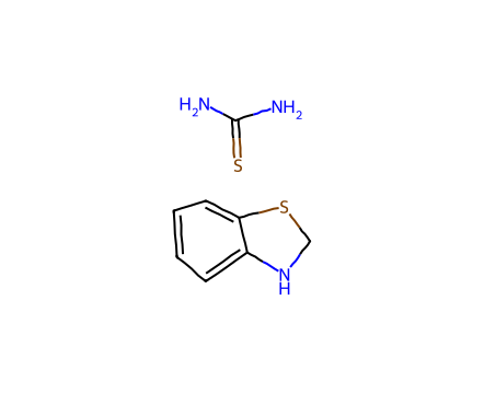 NC(N)=S.c1ccc2c(c1)NCS2